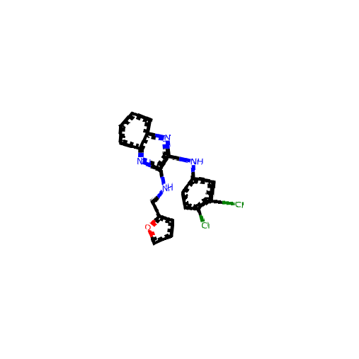 Clc1ccc(Nc2nc3ccccc3nc2NCc2ccco2)cc1Cl